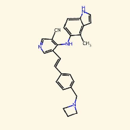 Cc1c(Nc2c(C#N)cncc2C=Cc2ccc(CN3CCC3)cc2)ccc2[nH]ccc12